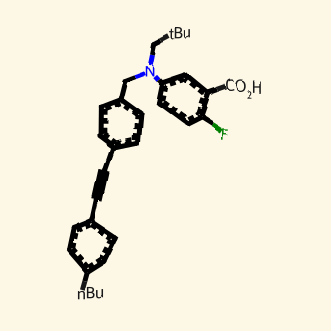 CCCCc1ccc(C#Cc2ccc(CN(CC(C)(C)C)c3ccc(F)c(C(=O)O)c3)cc2)cc1